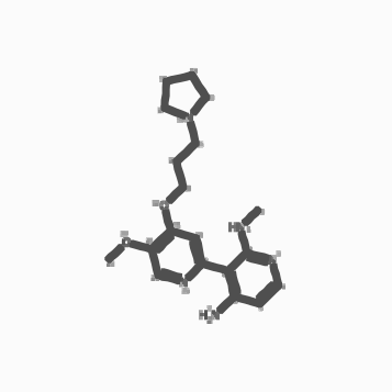 CNc1nccc(N)c1-c1cc(OCCCN2CCCC2)c(OC)cn1